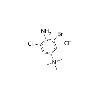 C[N+](C)(C)c1cc(Cl)c(N)c(Br)c1.[Cl-]